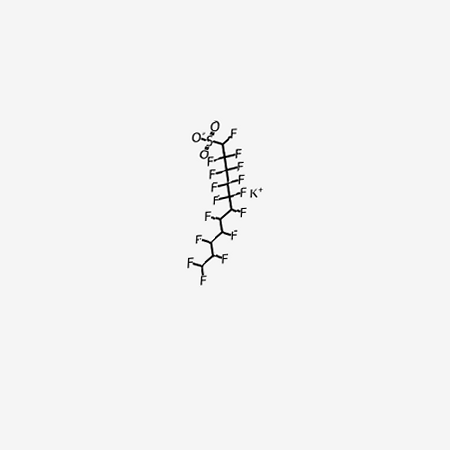 O=S(=O)([O-])C(F)C(F)(F)C(F)(F)C(F)(F)C(F)(F)C(F)C(F)C(F)C(F)C(F)C(F)F.[K+]